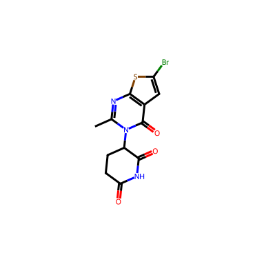 Cc1nc2sc(Br)cc2c(=O)n1C1CCC(=O)NC1=O